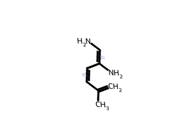 C=C(C)/C=C\C(N)=C/N